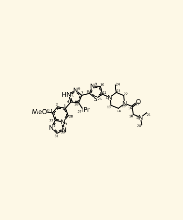 COc1cc(-c2[nH]nc(-c3ncc(N4CCN(C(=O)CN(C)C)CC4C)s3)c2C(C)C)cn2ncnc12